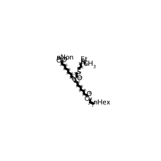 CCCCCC/C=C\COC(=O)CCCCCCCN(CCCCCCCC(=O)OCCCCCCCCC)C(=O)CSCCCN(C)CC